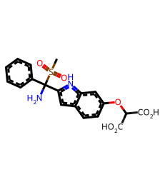 CS(=O)(=O)C(N)(c1ccccc1)c1cc2ccc(OC(C(=O)O)C(=O)O)cc2[nH]1